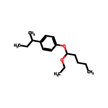 CCCCC(OCC)Oc1ccc(C(C)CC)cc1